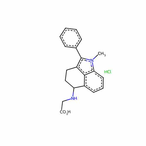 Cl.Cn1c(-c2ccccc2)c2c3c(cccc31)C(NCC(=O)O)CC2